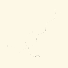 C=C[Si](OC)(OC)OCCCCN